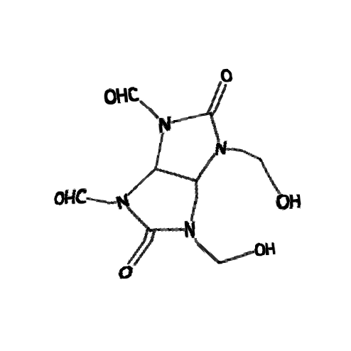 O=CN1C(=O)N(CO)C2C1N(C=O)C(=O)N2CO